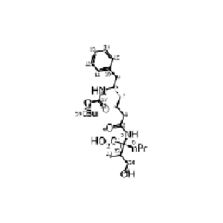 CCC[C@](NC(=O)CCC[C@@H](Cc1ccccc1)NC(=O)OC(C)(C)C)(C(=O)O)C(C)CO